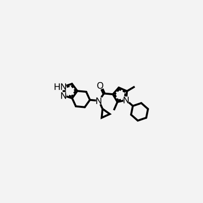 Cc1cc(C(=O)N(C2CC2)C2CCc3n[nH]cc3C2)c(C)n1C1CCCCC1